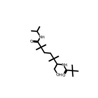 CC(C)NC(=O)C(C)(C)CCC(C)(C)C(CO)NC(=O)C(C)(C)C